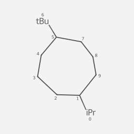 CC(C)C1CCCC(C(C)(C)C)CCC1